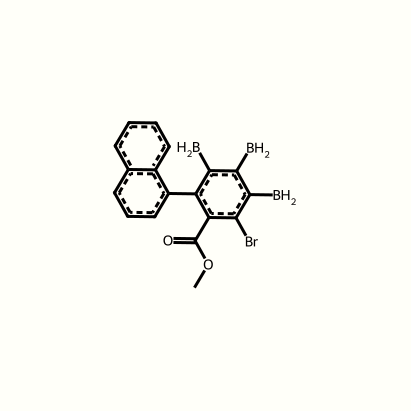 Bc1c(B)c(Br)c(C(=O)OC)c(-c2cccc3ccccc23)c1B